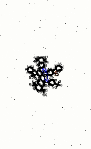 CC(C)(C)c1ccc(Nc2cc3c(cc2-c2c4c(c5c6cc7c(cc6n6c5c2Bc2cc5sc8ccccc8c5cc2-6)C(C)(C)CCC7(C)C)-c2ccccc2C4(C)C)C(C)(C)CCC3(C)C)cc1